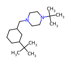 CC(C)(C)C1CCCC(CN2CCN(C(C)(C)C)CC2)C1